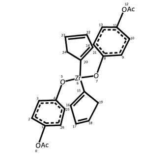 CC(=O)Oc1ccc([O][Zr]([O]c2ccc(OC(C)=O)cc2)([C]2=CC=CC2)[C]2=CC=CC2)cc1